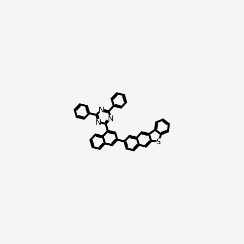 c1ccc(-c2nc(-c3ccccc3)nc(-c3cc(-c4ccc5cc6sc7ccccc7c6cc5c4)cc4ccccc34)n2)cc1